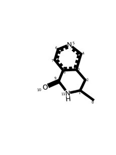 CC1Cc2cnccc2C(=O)N1